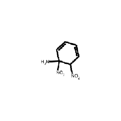 NC1([N+](=O)[O-])C=CC=CC1[N+](=O)[O-]